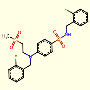 CS(=O)(=O)CCN(Cc1ccccc1F)c1ccc(S(=O)(=O)NCc2ccccc2F)cc1